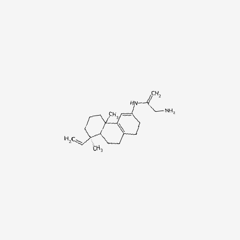 C=C[C@@]1(C)CCCC2(C)C3=C(CCC(NC(=C)CN)=C3)CCC21